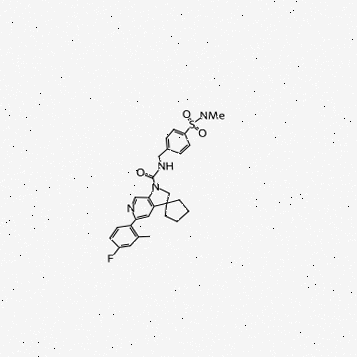 CNS(=O)(=O)c1ccc(CNC(=O)N2CC3(CCCC3)c3cc(-c4ccc(F)cc4C)ncc32)cc1